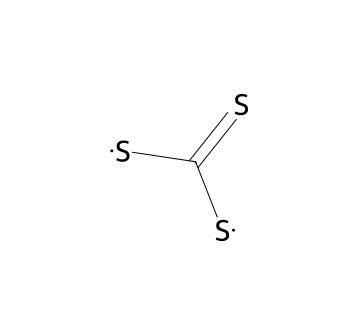 [S]C([S])=S